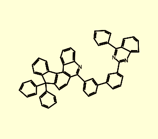 c1ccc(-c2nc(-c3cccc(-c4cccc(-c5nc6ccccc6c6c7c(ccc56)C(c5ccccc5)(c5ccccc5)c5ccccc5-7)c4)c3)nc3ccccc23)cc1